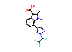 Cc1c(C(=O)O)c2cccc(-c3cnn(C(F)C(F)F)c3)c2n1C